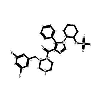 CS(=O)(=O)NC1CCCC[C@@H]1n1cnc(C(=O)N2CCNC[C@H]2Cc2cc(F)cc(F)c2)c1-c1ccccc1